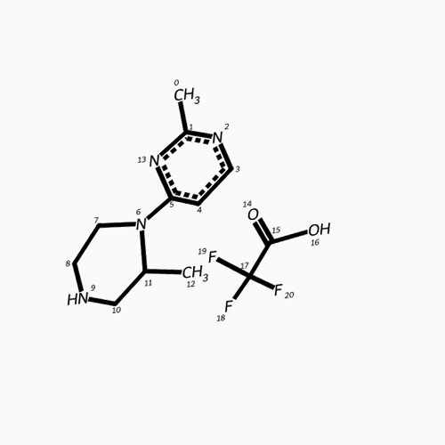 Cc1nccc(N2CCNCC2C)n1.O=C(O)C(F)(F)F